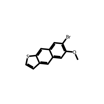 COc1cc2cc3ccsc3cc2cc1Br